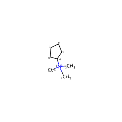 CC[N+](C)(C)C1CCCC1